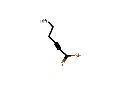 CCCCCC#CC(=S)S